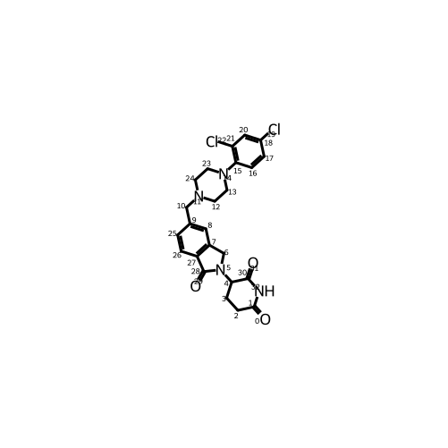 O=C1CCC(N2Cc3cc(CN4CCN(c5ccc(Cl)cc5Cl)CC4)ccc3C2=O)C(=O)N1